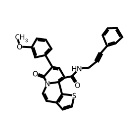 COc1cccc(-c2cc(C(=O)NCC#Cc3ccccc3)c3c4sccc4ccn3c2=O)c1